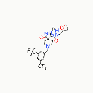 NC(=O)C1(C(CC2CC2)C(=O)NCC2CCCO2)CCN(Cc2cc(C(F)(F)F)cc(C(F)(F)F)c2)CC1